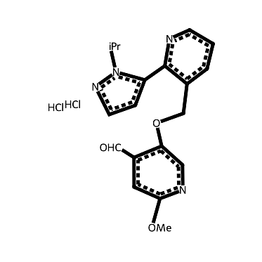 COc1cc(C=O)c(OCc2cccnc2-c2ccnn2C(C)C)cn1.Cl.Cl